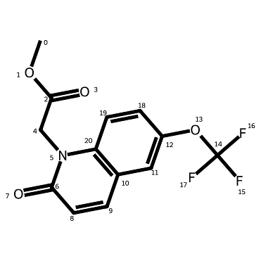 COC(=O)Cn1c(=O)ccc2cc(OC(F)(F)F)ccc21